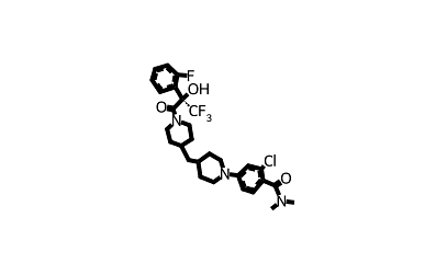 CN(C)C(=O)c1ccc(N2CCC(CC3CCN(C(=O)[C@](O)(c4ccccc4F)C(F)(F)F)CC3)CC2)cc1Cl